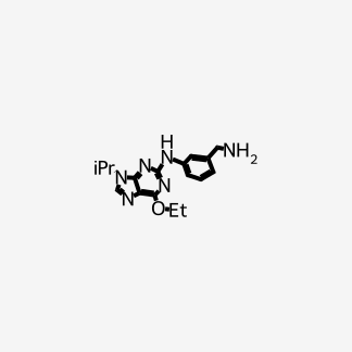 CCOc1nc(Nc2cccc(CN)c2)nc2c1ncn2C(C)C